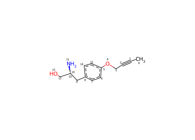 CC#CCOc1ccc(C[C@H](N)CO)cc1